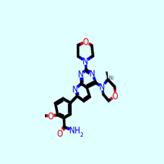 COc1ccc(-c2ccc3c(N4CCOC[C@@H]4C)nc(N4CCOCC4)nc3n2)cc1C(N)=O